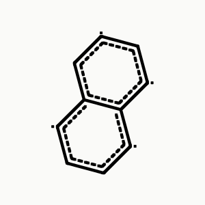 [c]1c[c]c2[c]cc[c]c2c1